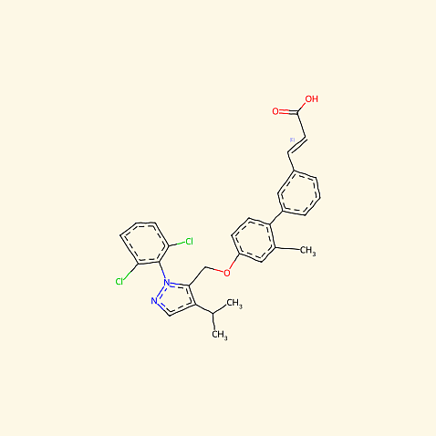 Cc1cc(OCc2c(C(C)C)cnn2-c2c(Cl)cccc2Cl)ccc1-c1cccc(/C=C/C(=O)O)c1